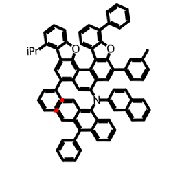 Cc1cccc(-c2cc3c(N(c4ccc5ccccc5c4)c4c5ccccc5c(-c5ccccc5)c5ccccc45)cc4c(-c5ccccc5)cc5c(oc6cccc(C(C)C)c65)c4c3c3c2oc2c(-c4ccccc4)cccc23)c1